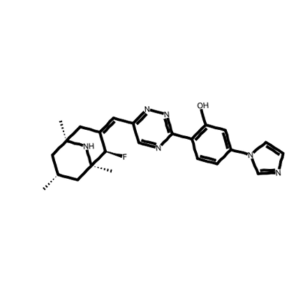 C[C@@H]1C[C@@]2(C)C/C(=C/c3cnc(-c4ccc(-n5ccnc5)cc4O)nn3)[C@@H](F)[C@@](C)(C1)N2